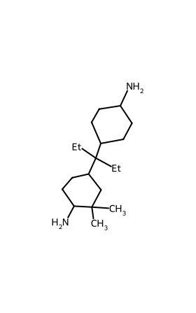 CCC(CC)(C1CCC(N)CC1)C1CCC(N)C(C)(C)C1